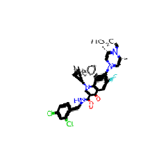 COc1c(N2C[C@@H](C)N(CC(=O)O)[C@@H](C)C2)c(F)cc2c(=O)c(C(=O)NCc3ccc(Cl)cc3Cl)cn(C3CC3)c12